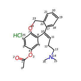 CC(=O)Oc1ccc2c(c1)C(=CCCN(C)C)c1ccccc1CO2.Cl